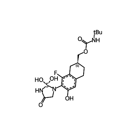 CC(C)(C)NC(=O)OC[C@H]1CCc2cc(O)c(N3CC(=O)NS3(O)O)c(F)c2C1